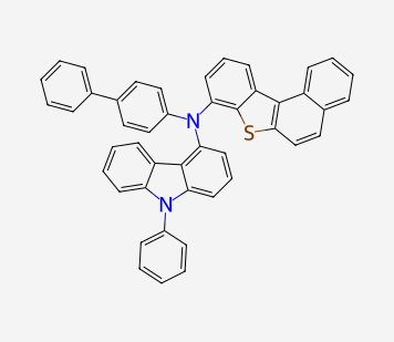 c1ccc(-c2ccc(N(c3cccc4c3sc3ccc5ccccc5c34)c3cccc4c3c3ccccc3n4-c3ccccc3)cc2)cc1